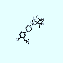 CC1=NN=C(C(F)(F)F)C1(Cl)CC(=O)N1CCN(c2ccc(Cl)c(CN(C)C)c2)CC1